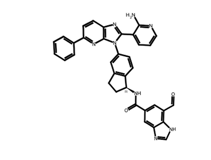 Nc1ncccc1-c1nc2ccc(-c3ccccc3)nc2n1-c1ccc2c(c1)CC[C@@H]2NC(=O)c1cc(C=O)c2[nH]cnc2c1